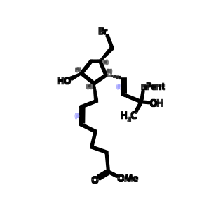 CCCCCC(C)(O)/C=C/[C@H]1[C@H](CBr)C[C@H](O)[C@@H]1C/C=C\CCCC(=O)OC